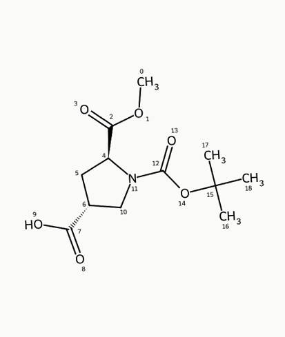 COC(=O)[C@@H]1C[C@@H](C(=O)O)CN1C(=O)OC(C)(C)C